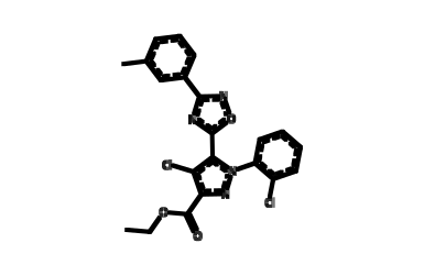 CCOC(=O)c1nn(-c2ccccc2Cl)c(-c2nc(-c3cccc(C)c3)no2)c1Cl